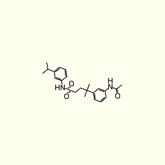 CC(=O)Nc1cccc(C(C)(C)CCS(=O)(=O)Nc2cccc(C(C)C)c2)c1